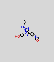 CCCCNc1ncc2c(-c3ccc(CN4CCOCC4)cc3)nc([C@H]3CC[C@H](O)CC3)n2n1